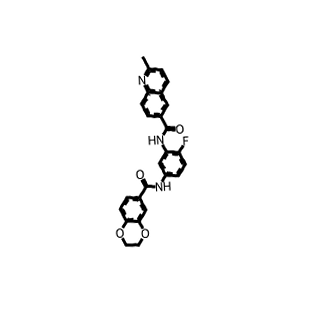 Cc1ccc2cc(C(=O)Nc3cc(NC(=O)c4ccc5c(c4)OCCO5)ccc3F)ccc2n1